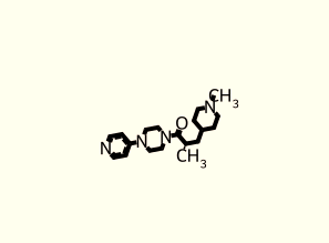 C[C@@H](CC1CCN(C)CC1)C(=O)N1CCN(c2ccncc2)CC1